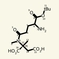 CN(C(=O)CCC(N)C(=O)OC(C)(C)C)[C@](C)(CC(=O)O)C(=O)O